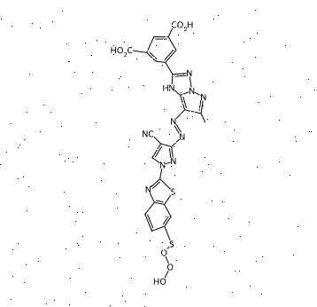 Cc1nn2nc(-c3cc(C(=O)O)cc(C(=O)O)c3)[nH]c2c1/N=N/c1nn(-c2nc3ccc(SOOO)cc3s2)cc1C#N